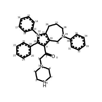 O=C(CN1CCNCC1)c1c2c(n(-c3ccccc3)c1-c1ccccc1)CCCN(c1ccccc1)C2